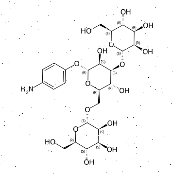 Nc1ccc(O[C@H]2O[C@H](CO[C@H]3O[C@H](CO)[C@@H](O)[C@H](O)[C@@H]3O)[C@@H](O)[C@H](O[C@@H]3O[C@@H](CO)[C@H](O)[C@@H](O)[C@H]3O)[C@@H]2O)cc1